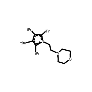 CC(C)c1c(C(C)(C)C)c(C(C)C)n(CCN2CCOCC2)c1C(C)C